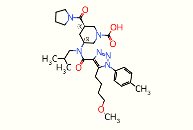 COCCCCc1c(C(=O)N(CC(C)C)[C@H]2C[C@@H](C(=O)N3CCCC3)CN(C(=O)O)C2)nnn1-c1ccc(C)cc1